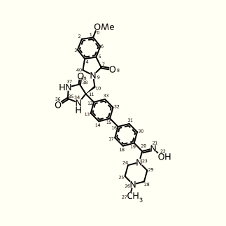 COc1ccc2c(c1)C(=O)N(C[C@@]1(c3ccc(-c4ccc(C(=NO)N5CCN(C)CC5)cc4)cc3)NC(=O)NC1=O)C2